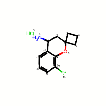 Cl.NC1CC2(CCC2)Oc2c(Cl)cccc21